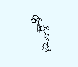 Cc1ccc(CN2CC(N3CC(NC(=O)C45CCCN4CCC5)CC3=O)C2)cc1O